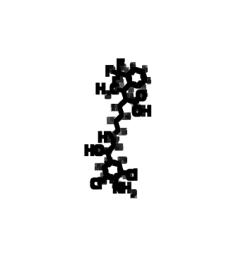 CC(c1ccccc1C(F)(F)F)C(CCCCNCC(O)c1cc(Cl)c(N)c(Cl)c1)C(=O)O